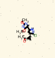 COc1ncc(-c2cc([C@H]3C[C@@H]3C(C)=O)c(Cl)nn2)c(OC)n1